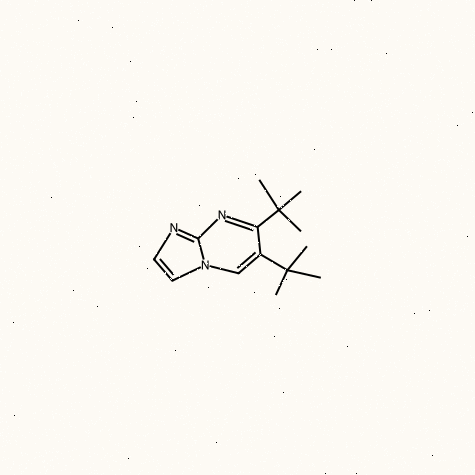 CC(C)(C)c1cn2ccnc2nc1C(C)(C)C